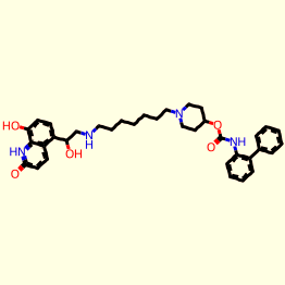 O=C(Nc1ccccc1-c1ccccc1)OC1CCN(CCCCCCCNCC(O)c2ccc(O)c3[nH]c(=O)ccc23)CC1